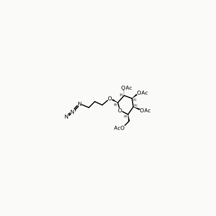 CC(=O)OC[C@H]1O[C@@H](OCCCN=[N+]=[N-])[C@H](OC(C)=O)[C@@H](OC(C)=O)[C@H]1OC(C)=O